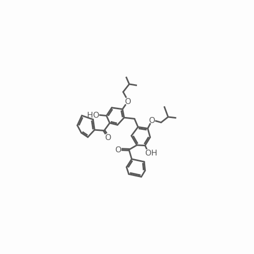 CC(C)COc1cc(O)c(C(=O)c2ccccc2)cc1Cc1cc(C(=O)c2ccccc2)c(O)cc1OCC(C)C